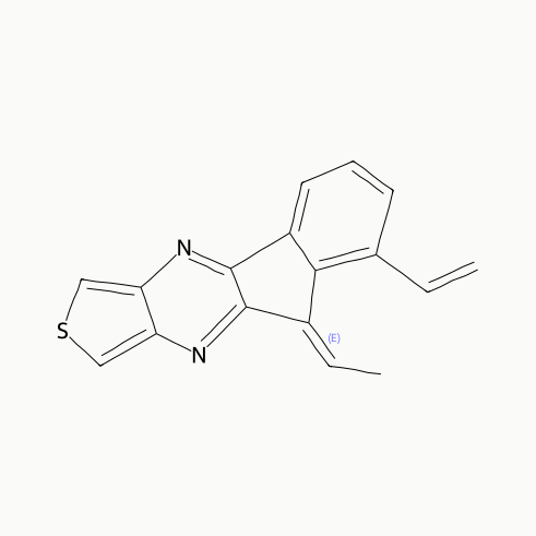 C=Cc1cccc2c1/C(=C\C)c1nc3cscc3nc1-2